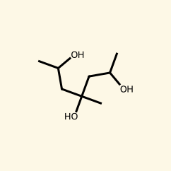 CC(O)CC(C)(O)CC(C)O